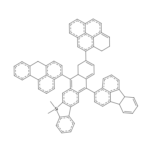 C[Si]1(C)c2ccccc2-c2cc3c(cc21)=C(c1ccc2c4c(cccc14)-c1ccccc1C2)C1CC(c2cc4cccc5ccc6c(c2CCC=6)c54)=CC=C1C=3c1ccc2c3c(cccc13)C1C=CC=CC21